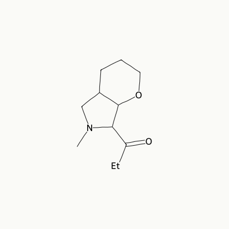 CCC(=O)C1C2OCCCC2CN1C